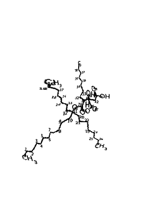 CCCCCCCCCCCC(CCCCCCCC)(CCCCCCCC)OC(=O)C(CCCCCCCF)C(O)(CC(=O)O)C(=O)O